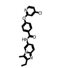 CCc1nc2ccc(NC(=O)c3ccc(Oc4cc(Cl)ccn4)cc3)cn2c1C